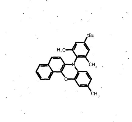 Cc1ccc2c(c1)Oc1c(ccc3ccccc13)N2c1c(C)cc(C(C)(C)C)cc1C